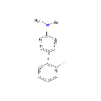 CC(=O)N(C)c1ccc(-c2ccccc2F)cc1